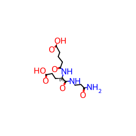 NC(=O)CCNC(=O)[C@@H](CCC(=O)O)NC(=O)CCCC(=O)O